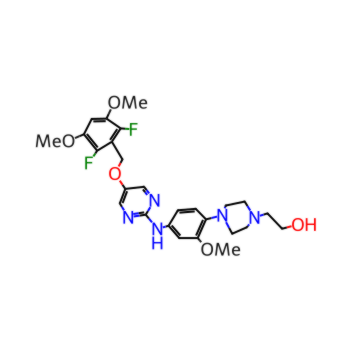 COc1cc(Nc2ncc(OCc3c(F)c(OC)cc(OC)c3F)cn2)ccc1N1CCN(CCO)CC1